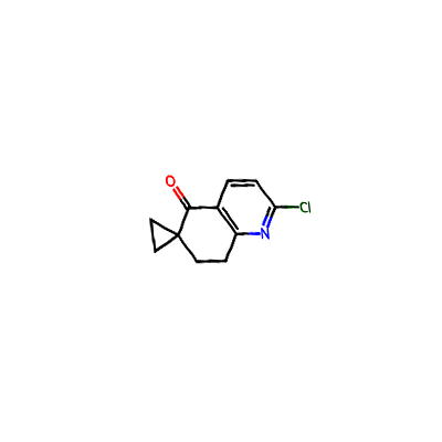 O=C1c2ccc(Cl)nc2CCC12CC2